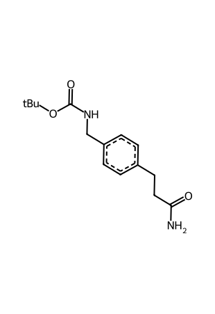 CC(C)(C)OC(=O)NCc1ccc(CCC(N)=O)cc1